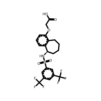 O=C(O)COc1cccc2c1CCCC[C@H]2NS(=O)(=O)c1cc(C(F)(F)F)cc(C(F)(F)F)c1